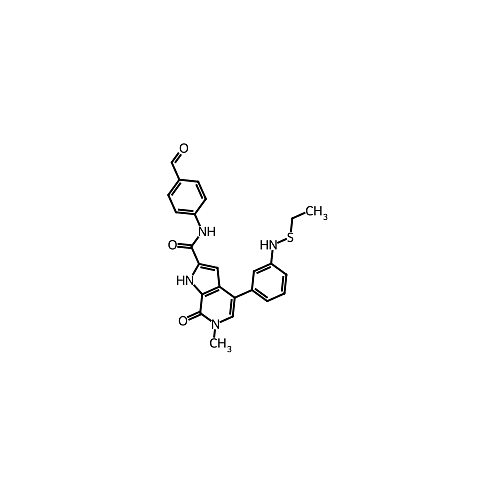 CCSNc1cccc(-c2cn(C)c(=O)c3[nH]c(C(=O)Nc4ccc(C=O)cc4)cc23)c1